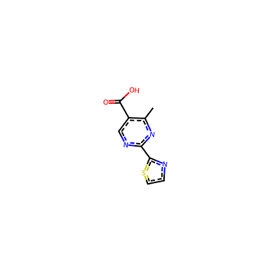 Cc1nc(-c2nccs2)ncc1C(=O)O